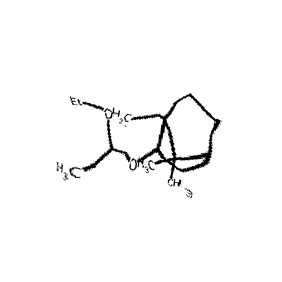 [CH2]C12CCC(CC1OC(C)OCC)C2(C)C